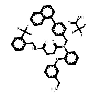 NCc1cccc(Oc2ccccc2N(Cc2ccc(-c3cccc4ccccc34)cc2)C(=O)CCC(=O)NCc2ccccc2C(F)(F)F)c1.O=C(O)C(F)(F)F